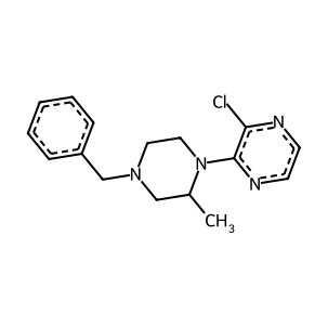 CC1CN(Cc2ccccc2)CCN1c1nccnc1Cl